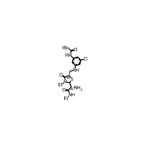 CCNC(=O)[C@@H](N)C1S[C@H](CNc2cc(Cl)cc(NC(=O)C(C)(C)C)c2)C(=O)N1CC